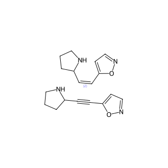 C(#CC1CCCN1)c1ccno1.C(=C/C1CCCN1)/c1ccno1